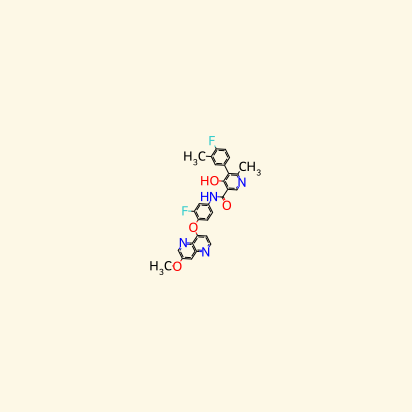 COc1cnc2c(Oc3ccc(NC(=O)c4cnc(C)c(-c5ccc(F)c(C)c5)c4O)cc3F)ccnc2c1